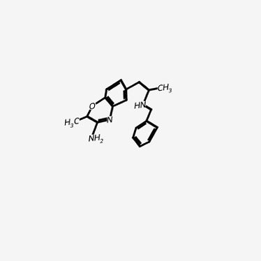 CC(Cc1ccc2c(c1)N=C(N)C(C)O2)NCc1ccccc1